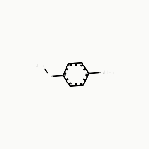 CCCC[CH]Cc1ccc(OCCCC)cc1